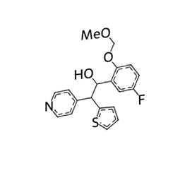 COCOc1ccc(F)cc1C(O)C(c1ccncc1)c1cccs1